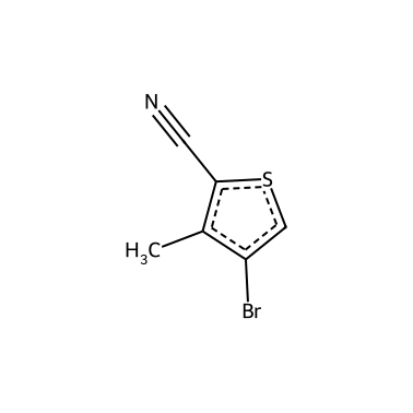 Cc1c(Br)csc1C#N